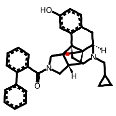 O=C(c1ccccc1-c1ccccc1)N1C[C@H]2C[C@@]34CCC1C2[C@@]31CCN(CC2CC2)[C@@H]4Cc2ccc(O)cc21